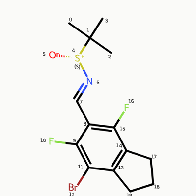 CC(C)(C)[S@@+]([O-])N=Cc1c(F)c(Br)c2c(c1F)CCC2